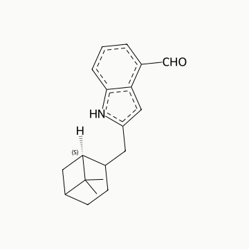 CC1(C)C2CCC(Cc3cc4c(C=O)cccc4[nH]3)[C@@H]1C2